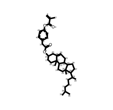 C=C(C)C(=O)Oc1ccc(CC(=O)OC2CCC3(C)C(=CCC4C3CCC3(C)C(C(C)CCCC(C)C)CCC43)C2)cc1